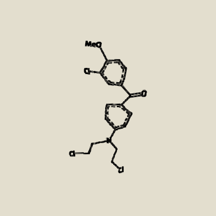 COc1ccc(C(=O)c2ccc(N(CCCl)CCCl)cc2)cc1Cl